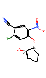 N#Cc1cc([N+](=O)[O-])c(O[C@@H]2CCC[C@H]2O)cc1Cl